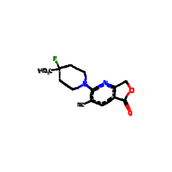 N#Cc1cc2c(nc1N1CCC(F)(C(=O)O)CC1)COC2=O